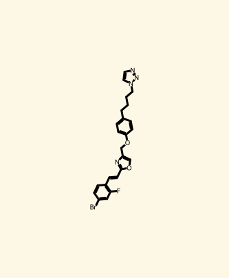 Fc1cc(Br)ccc1C=Cc1nc(COc2ccc(CCCCn3ccnn3)cc2)co1